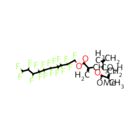 C=C(C)C(=O)O.C=C(C)C(=O)OC.C=C(C)C(=O)OC(F)C(F)(F)C(F)(F)C(F)(F)C(F)(F)C(F)(F)C(F)(F)C(F)C(F)C(F)F